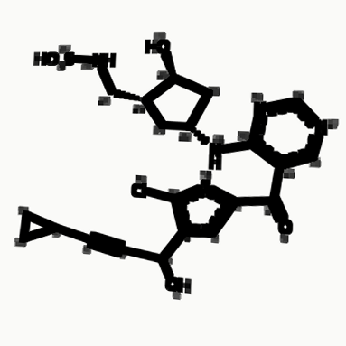 O=C(c1cc(C(O)C#CC2CC2)c(Cl)s1)c1cncnc1N[C@@H]1C[C@H](CNS(=O)(=O)O)[C@@H](O)C1